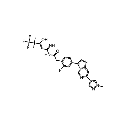 Cn1cc(-c2cc3ncc(-c4ccc(CC(=O)NC(=N)/C=C(\O)C(C)(C)C(F)(F)F)c(F)c4)n3cn2)cn1